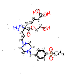 CS(=O)(=O)c1ccc(CN2CCN(CCCC(N)(CCCCB(O)O)C(=O)OCCO)CC2)cc1